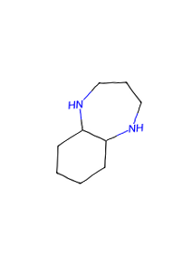 C1CNC2CCCCC2NC1